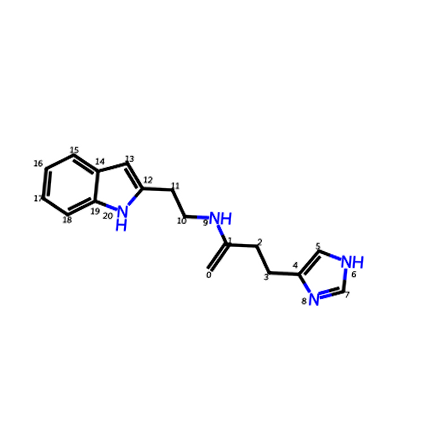 C=C(CCc1c[nH]cn1)NCCc1cc2ccccc2[nH]1